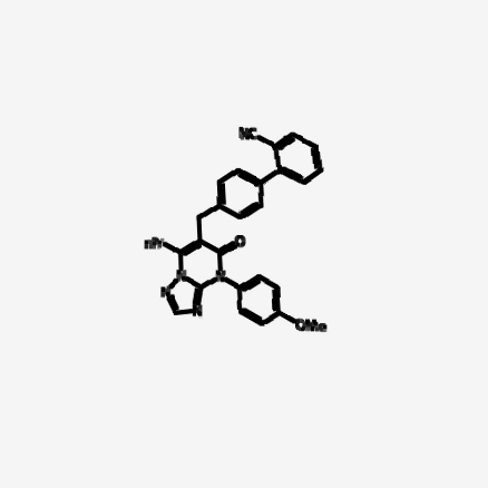 CCCc1c(Cc2ccc(-c3ccccc3C#N)cc2)c(=O)n(-c2ccc(OC)cc2)c2ncnn12